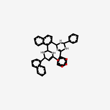 C1=C(c2ccccc2)NC(c2c(C3N=C(c4ccccc4)NC(c4ccccc4)N3)ccc3ccccc23)NC1c1cccc2ccccc12